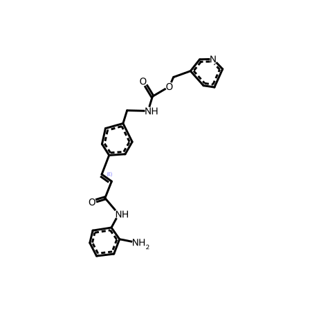 Nc1ccccc1NC(=O)/C=C/c1ccc(CNC(=O)OCc2cccnc2)cc1